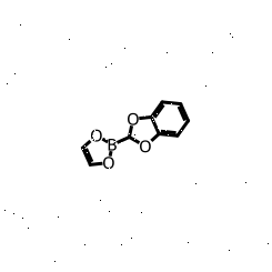 C1=COB(C2Oc3ccccc3O2)O1